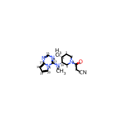 C[C@@H]1CCN(C(=O)CC#N)C[C@@H]1N(C)c1ncnc2cccn12